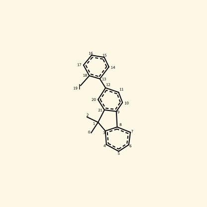 CC1(C)c2ccccc2-c2ccc(-c3ccccc3I)cc21